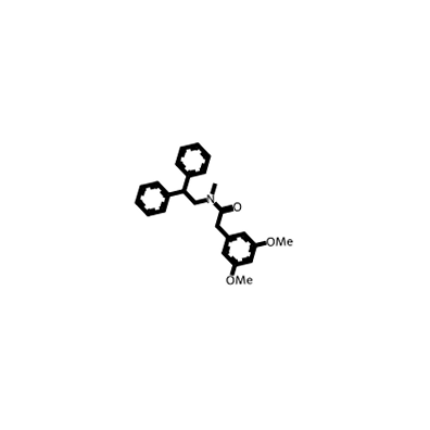 COc1cc(CC(=O)N(C)CC(c2ccccc2)c2ccccc2)cc(OC)c1